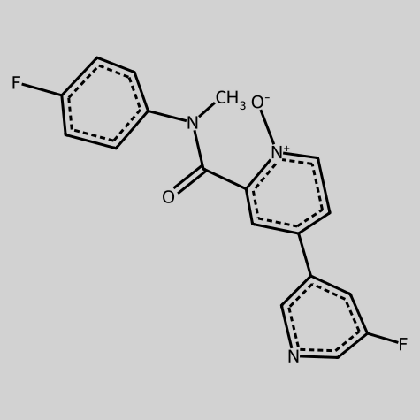 CN(C(=O)c1cc(-c2cncc(F)c2)cc[n+]1[O-])c1ccc(F)cc1